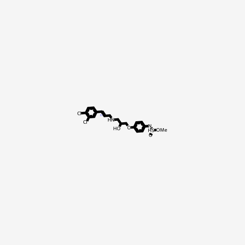 CO[SH](=O)=Nc1ccc(OCC(O)CNC/C=C/c2ccc(Cl)c(Cl)c2)cc1